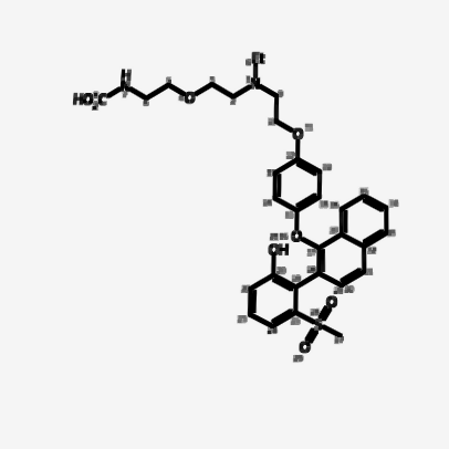 CCN(CCOCCNC(=O)O)CCOc1ccc(Oc2c(-c3c(O)cccc3S(C)(=O)=O)ccc3ccccc23)cc1